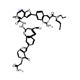 CCCN(CCC)C(=O)C1=Cc2ccc(-c3cc(C=O)c(/C=C\N(C)CC(=O)NNC4=Nc5cc(-c6cc7c(=O)n(CC(N)=O)ccc7s6)ccc5C=C(C=O)C4)s3)cc2N=C(N)C1